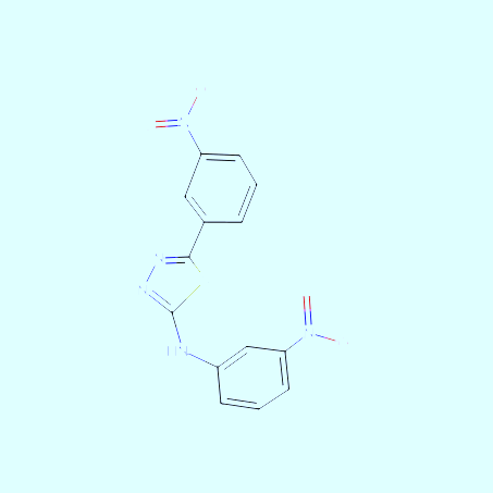 O=[N+]([O-])c1cccc(Nc2nnc(-c3cccc([N+](=O)[O-])c3)s2)c1